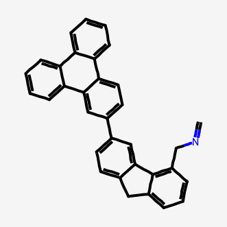 C=NCc1cccc2c1-c1cc(-c3ccc4c5ccccc5c5ccccc5c4c3)ccc1C2